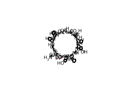 CCCC[C@H]1C(=O)N(C)CC(=O)N[C@@H](CC(=O)O)C(=O)N[C@@H](C(C)C)C(=O)N(C)[C@@H](Cc2ccccc2)C(=O)N[C@@H](Cc2ccc(O)cc2)C(=O)N(C)CC(=O)N[C@@H](Cc2c[nH]c3ccccc23)C(=O)N[C@@H](Cc2ccc(O)cc2)C(=O)N[C@@H](CC(C)C)C(=O)N[C@H](C(=O)NCC(N)=O)CSCC2OC2N[C@@H](Cc2ccccc2)C(=O)N(C)[C@@H](Cc2ccccc2)C(=O)N1C